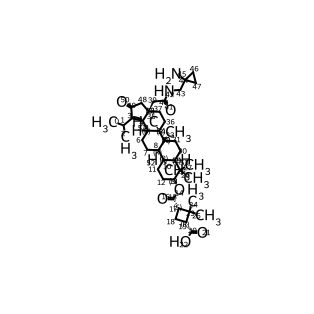 CC(C)C1=C2[C@H]3CC[C@@H]4[C@@]5(C)CC[C@H](OC(=O)[C@H]6C[C@@H](C(=O)O)C6(C)C)C(C)(C)[C@@H]5CC[C@@]4(C)[C@]3(C)CC[C@@]2(CC(=O)NCC2(N)CC2)CC1=O